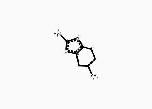 Cc1nc2c(o1)CC(C)CC2